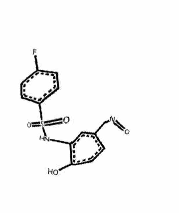 O=Nc1ccc(O)c(NS(=O)(=O)c2ccc(F)cc2)c1